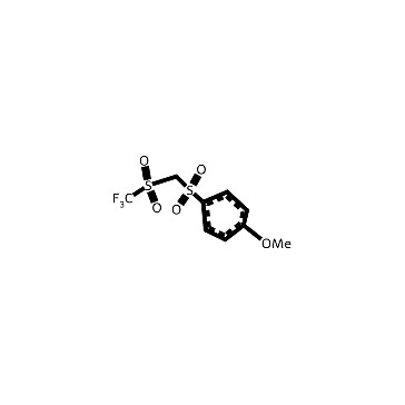 COc1ccc(S(=O)(=O)CS(=O)(=O)C(F)(F)F)cc1